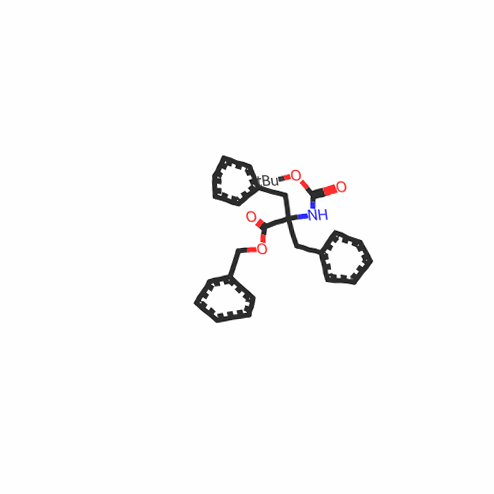 CC(C)(C)OC(=O)NC(Cc1ccccc1)(Cc1ccccc1)C(=O)OCc1ccccc1